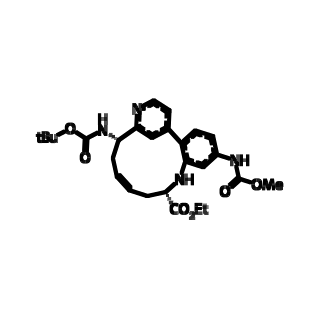 CCOC(=O)[C@@H]1CC=CC[C@H](NC(=O)OC(C)(C)C)c2cc(ccn2)-c2ccc(NC(=O)OC)cc2N1